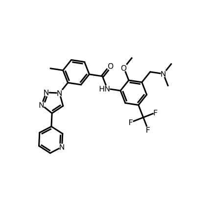 COc1c(CN(C)C)cc(C(F)(F)F)cc1NC(=O)c1ccc(C)c(-n2cc(-c3cccnc3)nn2)c1